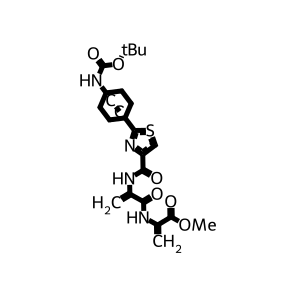 C=C(NC(=O)c1csc(C23CCC(NC(=O)OC(C)(C)C)(CC2)CC3)n1)C(=O)NC(=C)C(=O)OC